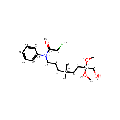 CO[Si](CO)(CC[Si](C)(C)CCCN(C(=O)CF)c1ccccc1)OC